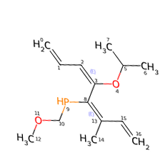 C=C/C=C(OC(C)C)\C(PCOC)=C(\C)C=C